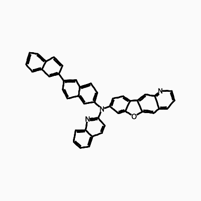 c1ccc2cc(-c3ccc4cc(N(c5ccc6c(c5)oc5cc7cccnc7cc56)c5ccc6ccccc6n5)ccc4c3)ccc2c1